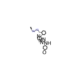 C#C/C=C\C=C/Cc1ccccc1-c1nccn2nc(Nc3ccc(OC)cc3)nc12